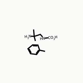 CC(C)(N)CNC(=O)O.Cc1ccccc1